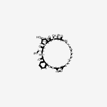 CC(C)C[C@H]1NC(=O)c2ccccc2OCc2noc(n2)CCCCCOCCNC(=O)[C@H](C(C)C)N(C)C(=O)[C@H]2C[C@H](O)CN2C1=O